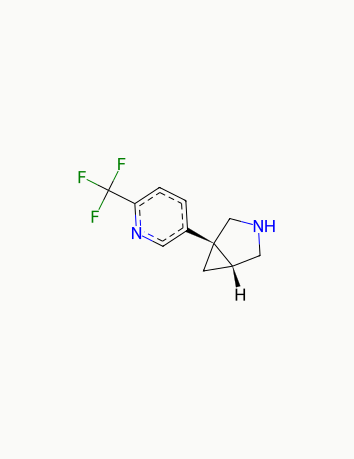 FC(F)(F)c1ccc([C@@]23CNC[C@@H]2C3)cn1